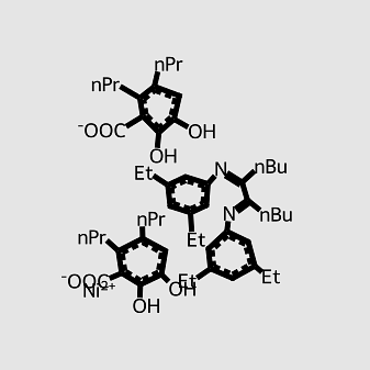 CCCCC(=Nc1cc(CC)cc(CC)c1)C(CCCC)=Nc1cc(CC)cc(CC)c1.CCCc1cc(O)c(O)c(C(=O)[O-])c1CCC.CCCc1cc(O)c(O)c(C(=O)[O-])c1CCC.[Ni+2]